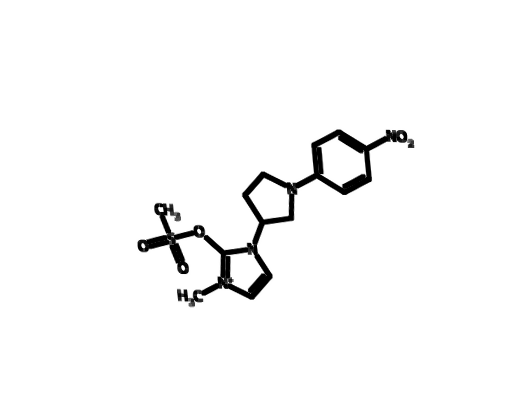 C[n+]1ccn(C2CCN(c3ccc([N+](=O)[O-])cc3)C2)c1OS(C)(=O)=O